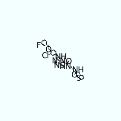 O=C(Cc1cccs1)NCCNC(=O)c1nc2c(Nc3ccc(OCc4cccc(F)c4)c(Cl)c3)ncnc2s1